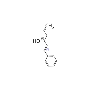 C=CC[C@@H](O)/C=C/c1ccccc1